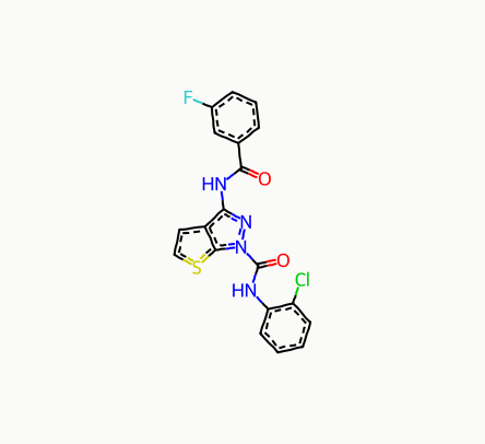 O=C(Nc1nn(C(=O)Nc2ccccc2Cl)c2sccc12)c1cccc(F)c1